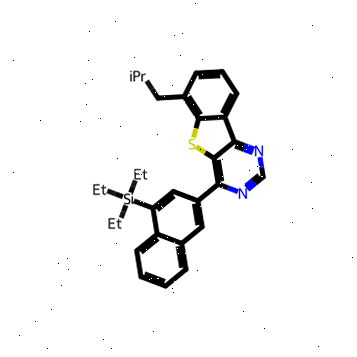 CC[Si](CC)(CC)c1cc(-c2ncnc3c2sc2c(CC(C)C)cccc23)cc2ccccc12